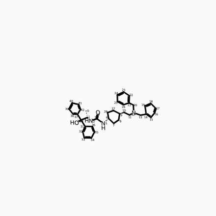 C[C@H](NC(=O)N[C@H]1CC[C@H](CCN(Cc2ccccc2)Cc2ccccc2)CC1)C(O)(c1ccccc1)c1ccccc1